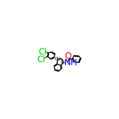 O=C(N[C@H]1C[C@@H](c2ccc(Cl)c(Cl)c2)c2ccccc21)c1ccccc1